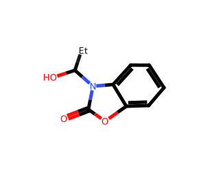 CCC(O)n1c(=O)oc2ccccc21